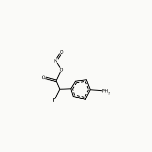 O=NOC(=O)C(F)c1ccc(P)cc1